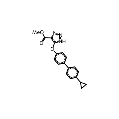 COC(=O)c1nn[nH]c1Oc1ccc(-c2ccc(C3CC3)cc2)cc1